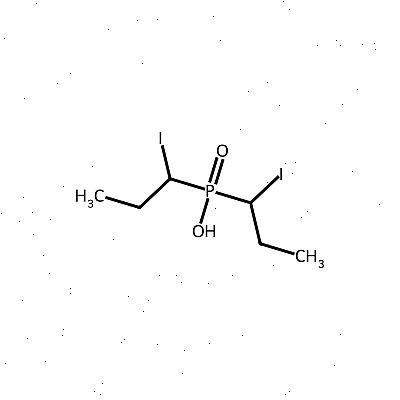 CCC(I)P(=O)(O)C(I)CC